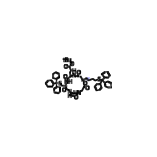 CC(C)(C)OC(=O)CC[C@H]1NC(=O)C[C@@H](/C=C/CCSC(c2ccccc2)(c2ccccc2)c2ccccc2)OC(=O)CNC(=O)C2(CC2)NC(=O)[C@@H](CSC(c2ccccc2)(c2ccccc2)c2ccccc2)NC1=O